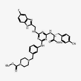 CNC(=O)[C@@H](Cc1ccc(C#N)cc1)Nc1nc(NCc2nc3cc(F)ccc3[nH]2)nc(Nc2cccc(CN3CCN(C(=O)OC(C)(C)C)CC3)c2)n1